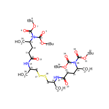 CC(C)(C)OC(=O)N(C(=O)OC(C)(C)C)C(CCC(=O)NC(CSSCC(NC(=O)CCC(C(=O)O)N(C(=O)OC(C)(C)C)C(=O)OC(C)(C)C)C(=O)O)C(=O)O)C(=O)O